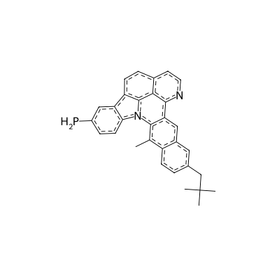 Cc1c2ccc(CC(C)(C)C)cc2cc2c3nccc4ccc5c6cc(P)ccc6n(c12)c5c43